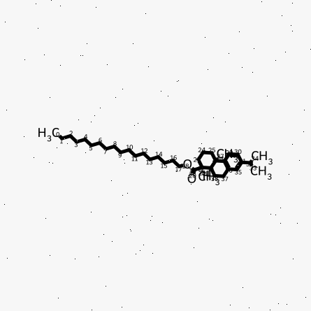 CCCCCCCCCCCCCCCCCCOC(=O)[C@@]1(C)CCC[C@]2(C)c3ccc(C(C)C)cc3CC[C@@H]12